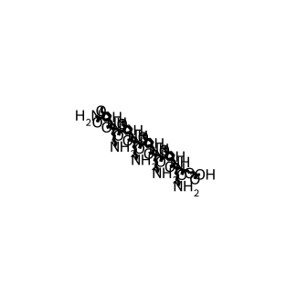 COc1ccc(NC(=O)[C@H](CCCCN)NC(=O)c2cc(NC(=O)[C@H](CCCCN)NC(=O)c3cc(NC(=O)[C@H](CCCCN)NC(=O)c4cc(NC(=O)[C@H](CCCCN)NC(=O)COCC(=O)O)ccc4OC)ccc3OC)ccc2OC)cc1C(N)=O